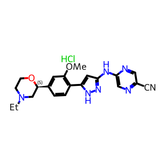 CCN1CCO[C@@H](c2ccc(-c3cc(Nc4cnc(C#N)cn4)n[nH]3)c(OC)c2)C1.Cl